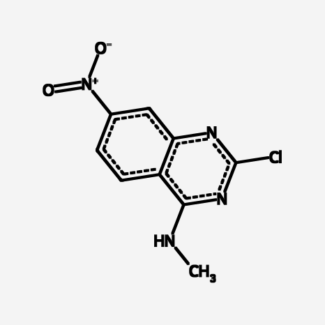 CNc1nc(Cl)nc2cc([N+](=O)[O-])ccc12